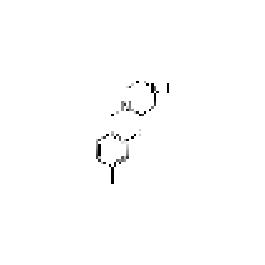 Cc1ccc(CN2CCNCC2)c(Cl)c1